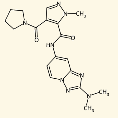 CN(C)c1nc2cc(NC(=O)c3c(C(=O)N4CCCC4)cnn3C)ccn2n1